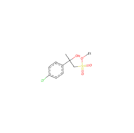 CCOS(=O)(=O)CC(C)(O)c1ccc(Cl)cc1